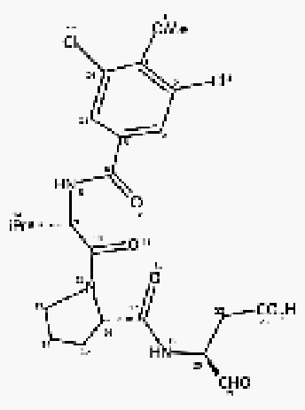 COc1c(Cl)cc(C(=O)N[C@H](C(=O)N2CCC[C@H]2C(=O)N[C@H](C=O)CC(=O)O)C(C)C)cc1Cl